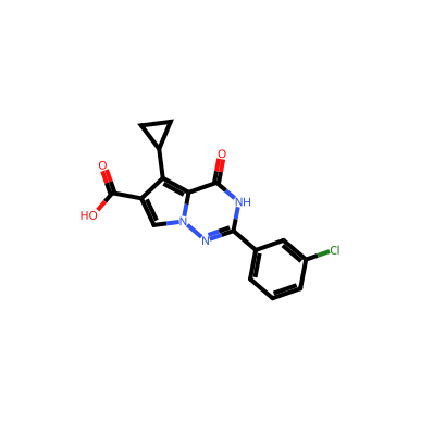 O=C(O)c1cn2nc(-c3cccc(Cl)c3)[nH]c(=O)c2c1C1CC1